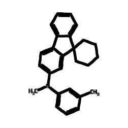 Cc1cccc(N(C)c2ccc3c(c2)C2(CCCCC2)c2ccccc2-3)c1